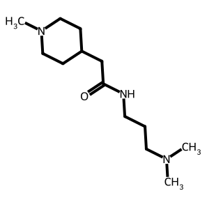 CN(C)CCCNC(=O)CC1CCN(C)CC1